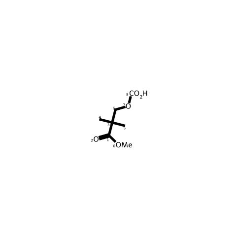 COC(=O)C(C)(C)COC(=O)O